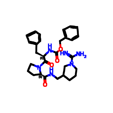 N=C(N)N1CCCC(CNC(=O)[C@@H]2CCCN2C(=O)[C@@H](Cc2ccccc2)NC(=O)OCc2ccccc2)C1